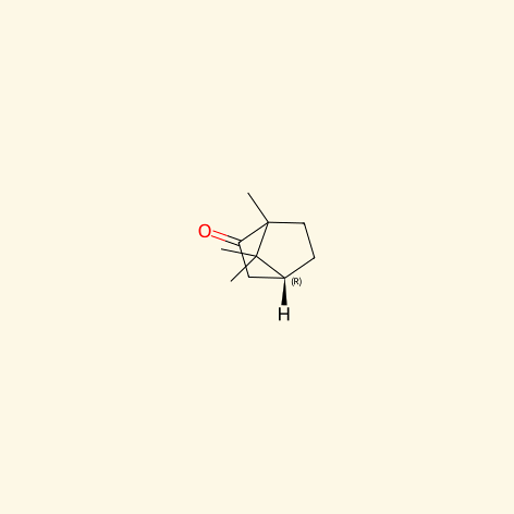 CC12CC[C@H](CC1=O)C2(C)C